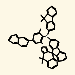 Cc1cc(-c2ccc3ccccc3c2)cc(C)c1N(c1ccc2c(c1)C(C)(C)c1ccccc1-2)c1ccc2c(c1)C1(c3ccccc3-2)c2ccccc2C(C)(C)c2ccccc21